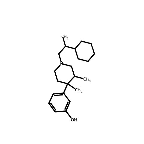 CC(CN1CCC(C)(c2cccc(O)c2)C(C)C1)C1CCCCC1